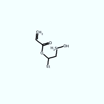 C=CC(=O)OC(CC)C[SiH2]O